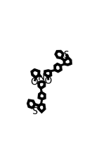 c1ccc2c(c1)Oc1cc(-c3ccc(-c4cccc5sc6ccccc6c45)cc3)cc3c1N2c1ccc(-c2ccc(-c4cccc5sc6ccccc6c45)cc2)cc1O3